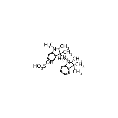 CC1N(C)c2ccccc2C1(C)C.CC1N(C)c2ccccc2C1(C)C.O=S(=O)(O)O